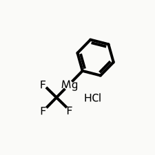 Cl.F[C](F)(F)[Mg][c]1ccccc1